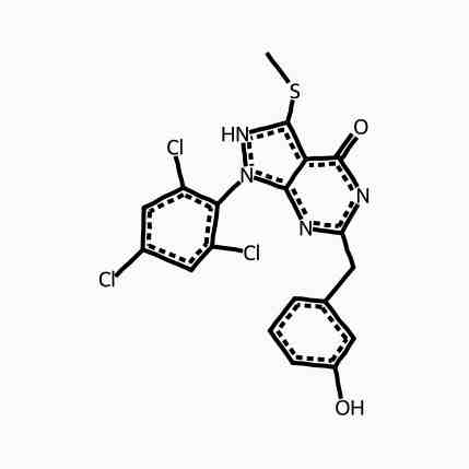 CSc1[nH]n(-c2c(Cl)cc(Cl)cc2Cl)c2nc(Cc3cccc(O)c3)nc(=O)c1-2